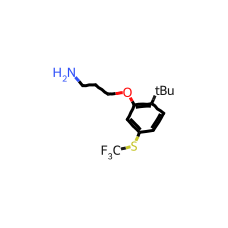 CC(C)(C)c1ccc(SC(F)(F)F)cc1OCCCN